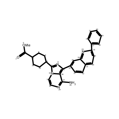 COC(=O)C1CCC(c2nc(-c3ccc4ccc(-c5ccccc5)nc4c3)c3c(N)nccn23)CC1